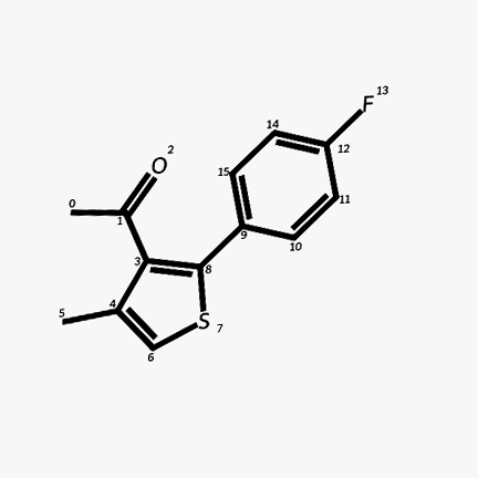 CC(=O)c1c(C)csc1-c1ccc(F)cc1